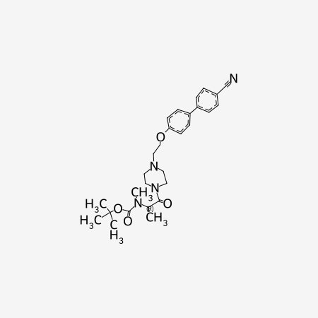 C[C@H](C(=O)N1CCN(CCOc2ccc(-c3ccc(C#N)cc3)cc2)CC1)N(C)C(=O)OC(C)(C)C